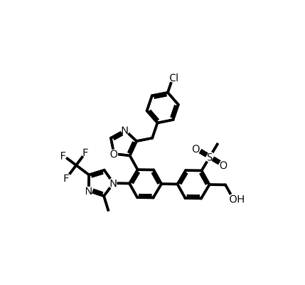 Cc1nc(C(F)(F)F)cn1-c1ccc(-c2ccc(CO)c(S(C)(=O)=O)c2)cc1-c1ocnc1Cc1ccc(Cl)cc1